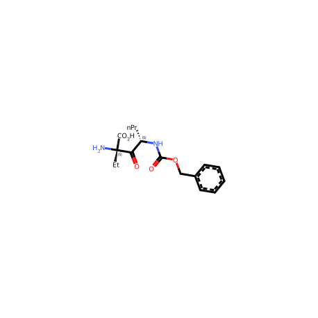 CCC[C@H](NC(=O)OCc1ccccc1)C(=O)[C@@](N)(CC)C(=O)O